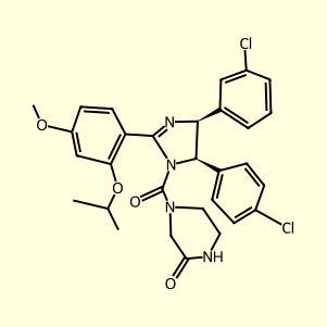 COc1ccc(C2=N[C@@H](c3cccc(Cl)c3)[C@@H](c3ccc(Cl)cc3)N2C(=O)N2CCNC(=O)C2)c(OC(C)C)c1